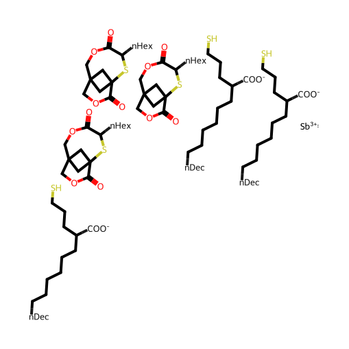 CCCCCCC1SC23CC(COC1=O)(COC2=O)C3.CCCCCCC1SC23CC(COC1=O)(COC2=O)C3.CCCCCCC1SC23CC(COC1=O)(COC2=O)C3.CCCCCCCCCCCCCCCCC(CCCS)C(=O)[O-].CCCCCCCCCCCCCCCCC(CCCS)C(=O)[O-].CCCCCCCCCCCCCCCCC(CCCS)C(=O)[O-].[Sb+3]